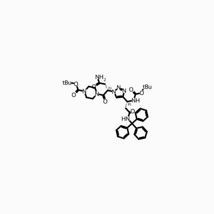 CC(C)(C)OC(=O)N[C@H](CC(=O)NC(c1ccccc1)(c1ccccc1)c1ccccc1)c1cn([C@@H](CC(N)=O)C(=O)N2CCN(C(=O)OC(C)(C)C)CC2)nn1